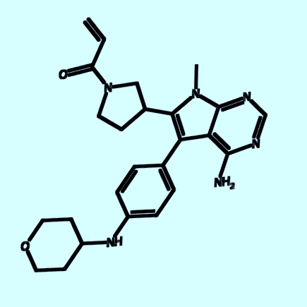 C=CC(=O)N1CCC(c2c(-c3ccc(NC4CCOCC4)cc3)c3c(N)ncnc3n2C)C1